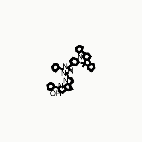 CC1(C)c2ccccc2-c2ccc3c4ccccc4n(-c4ccc(-c5nc(-c6ccccc6)nc(-c6ccc7ccc8ccc(-c9ccccc9O)nc8c7n6)n5)cc4)c3c21